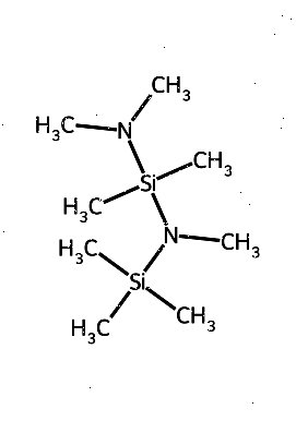 CN(C)[Si](C)(C)N(C)[Si](C)(C)C